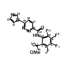 COC(=O)c1c(F)c(F)c(F)c(F)c1NC(=O)c1ccc(-n2ccnc2)nn1